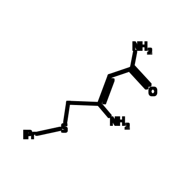 CC(C)SC/C(N)=C/C(N)=O